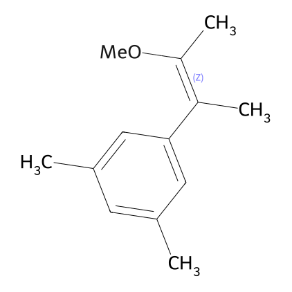 CO/C(C)=C(/C)c1cc(C)cc(C)c1